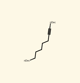 [CH2]CCCCCCCCCC#CCCCCCCCCCCCCCC[CH2]